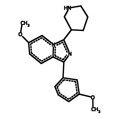 COc1cccc(-c2nc(C3CCCNC3)n3cc(OC)ccc23)c1